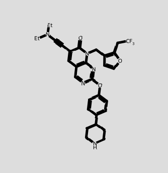 CCN(C#Cc1cc2cnc(Oc3ccc(C4CCNCC4)cc3)nc2n(Cc2ccoc2CC(F)(F)F)c1=O)CC